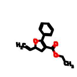 C=CC1CC(C(=O)OCC)=C(c2ccccc2)O1